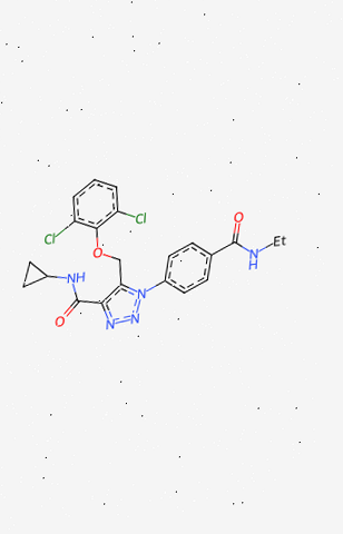 CCNC(=O)c1ccc(-n2nnc(C(=O)NC3CC3)c2COc2c(Cl)cccc2Cl)cc1